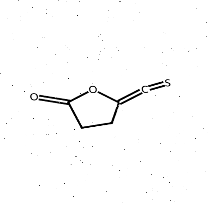 O=C1CCC(=C=S)O1